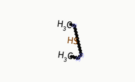 CCC/C=C\CCCCCCCCC(S)CCCCCCCC/C=C\C/C=C\CCCCC